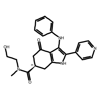 CN(CCO)C(=O)[C@H]1CC(=O)c2c([nH]c(-c3ccncc3)c2Nc2ccccc2)C1